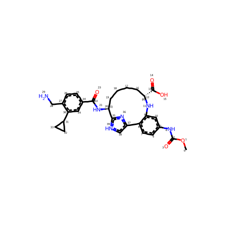 COC(=O)Nc1ccc2c(c1)N[C@@H](C(=O)O)CCCC[C@H](NC(=O)c1ccc(CN)c(C3CC3)c1)c1nc-2c[nH]1